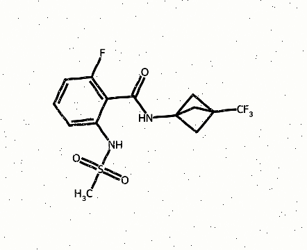 CS(=O)(=O)Nc1cccc(F)c1C(=O)NC12CC(C(F)(F)F)(C1)C2